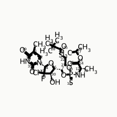 Cc1cn([C@@H]2O[C@H](CO[P@@](=S)(N[C@@H](C)C(=O)OC(C)C)OCCSC(=O)C(C)(C)C)[C@@H](O)[C@]2(F)Cl)c(=O)[nH]c1=O